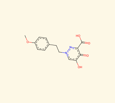 COc1ccc(CCn2cc(O)c(=O)c(C(=O)O)n2)cc1